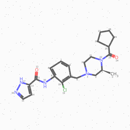 C[C@H]1CN(Cc2cccc(NC(=O)c3ccn[nH]3)c2Cl)CCN1C(=O)C1CCCC1